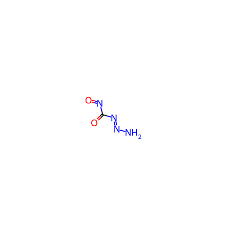 NN=NC(=O)N=O